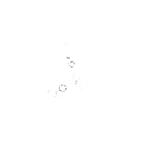 CCCCOC1C[C@H](CCSc2nc(C(=O)OCCO)cs2)[C@@H](CSc2ccc(C(O)CCC)cc2)C1Cl